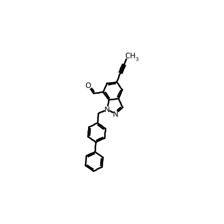 CC#Cc1cc(C=O)c2c(cnn2Cc2ccc(-c3ccccc3)cc2)c1